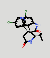 C=C(C)[C@H]1NC(=O)C[C@@H](c2cncc(Cl)c2)[C@]12C(=O)Nc1cc(Cl)ccc12